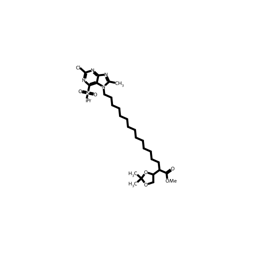 COC(=O)C(CCCCCCCCCCCCCCn1c(C)nc2nc(Cl)nc(S(=O)(=O)C(C)C)c21)C1COC(C)(C)O1